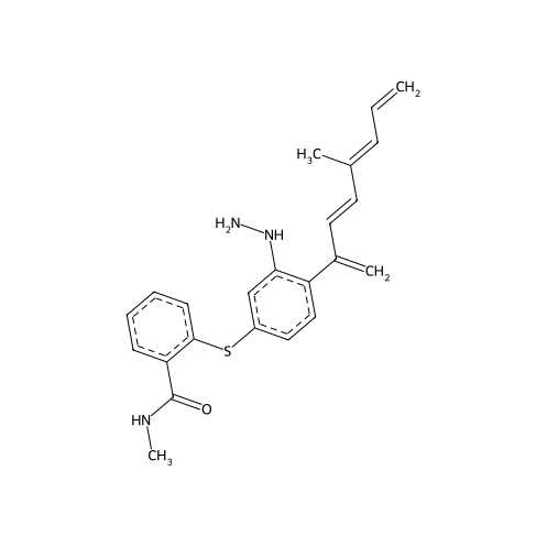 C=C/C=C(C)/C=C/C(=C)c1ccc(Sc2ccccc2C(=O)NC)cc1NN